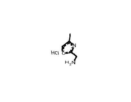 Cc1coc(CN)n1.Cl